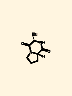 CCC(C)[C@@H]1NC(=O)[C@@H]2CCCN2C1=O